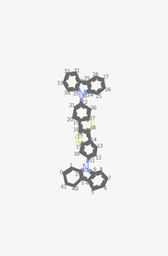 C1=Cc2c(c3ccccc3n2-c2ccc3c(c2)sc2c4ccc(-n5c6ccccc6c6ccccc65)cc4sc32)CC1